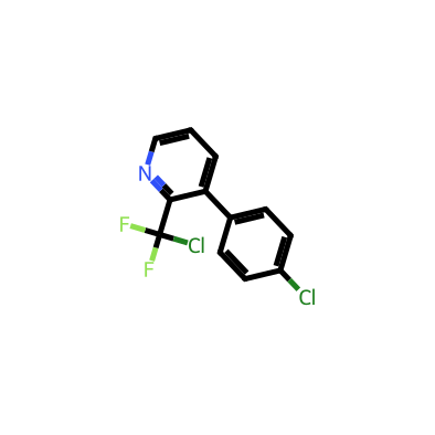 FC(F)(Cl)c1ncccc1-c1ccc(Cl)cc1